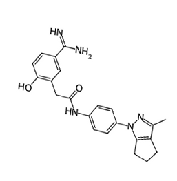 Cc1nn(-c2ccc(NC(=O)Cc3cc(C(=N)N)ccc3O)cc2)c2c1CCC2